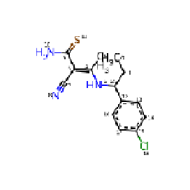 CCC(NC(C)=C(C#N)C(N)=S)c1ccc(Cl)cc1